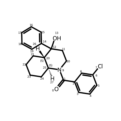 O=C(c1cccc(Cl)c1)N1CCC(O)(c2ccccc2)[C@H]2CCCC[C@@H]21